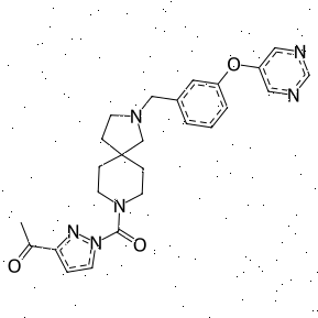 CC(=O)c1ccn(C(=O)N2CCC3(CCN(Cc4cccc(Oc5cncnc5)c4)C3)CC2)n1